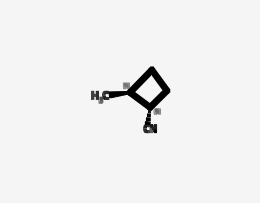 C[C@H]1CC[C@@H]1C#N